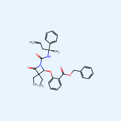 C=CC[C@@](C)(NC(=O)N1C(=O)C(CC)(CC)[C@@H]1Oc1ccccc1C(=O)OCc1ccccc1)c1ccccc1